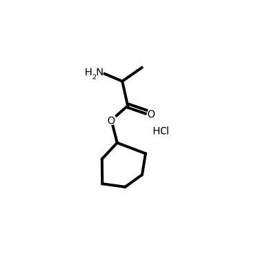 CC(N)C(=O)OC1CCCCC1.Cl